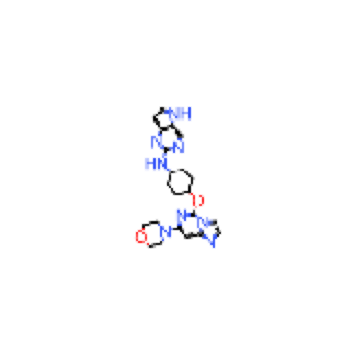 c1cn2c(OC3CCC(Nc4ncc5[nH]ccc5n4)CC3)nc(N3CCOCC3)cc2n1